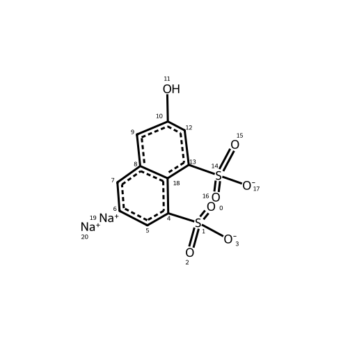 O=S(=O)([O-])c1cccc2cc(O)cc(S(=O)(=O)[O-])c12.[Na+].[Na+]